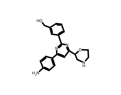 Nc1ccc(-c2cc(C3CNCCO3)nc(-c3cccc(CO)c3)n2)cc1